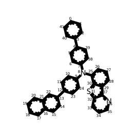 c1ccc(-c2ccc(N(c3ccc(-c4ccc5ccccc5c4)cc3)c3cccc4c3sc3cccnc34)cc2)cc1